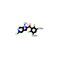 COc1cc(OC)c(F)c(C(=O)c2cc3cc(Cl)ncc3n2C)c1F